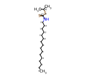 CCCCCCCCCCCCCCCCNC(=S)SC(C)C